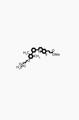 COC(=O)/C=C/c1cc2ccc(-c3cccc(-c4c(C)cc(OCCCS(C)(=O)=O)cc4C)c3)nc2cc1F